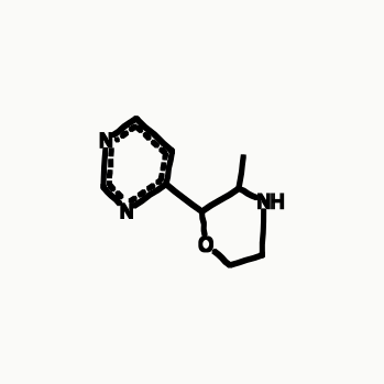 CC1NCCOC1c1ccncn1